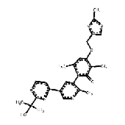 Cc1nc(COc2cc(C)n(-c3cc(-c4ccnc(C(C)(C)O)n4)cnc3C)c(=O)c2C)cs1